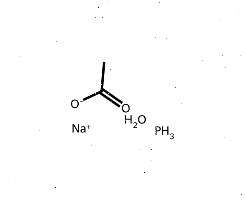 CC(=O)[O-].O.P.[Na+]